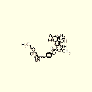 CCCOC(=O)Cn1nnnc1SCc1ccc(OC(=O)Sc2cc3c(c(O)c2NC(C)=O)C(C)(C)CC(=O)N3)cc1